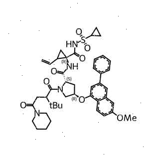 C=CC1C[C@]1(NC(=O)[C@@H]1C[C@@H](Oc2cc(-c3ccccc3)cc3cc(OC)ccc23)CN1C(=O)C(CC(=O)N1CCCCC1)C(C)(C)C)C(=O)NS(=O)(=O)C1CC1